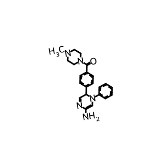 CN1CCN(C(=O)c2ccc(C3C=NC(N)=CN3c3ccccc3)cc2)CC1